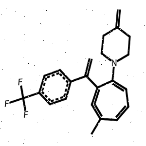 C=C1CCN(C2=CC=CC(C)=C=C2C(=C)c2ccc(C(F)(F)F)cc2)CC1